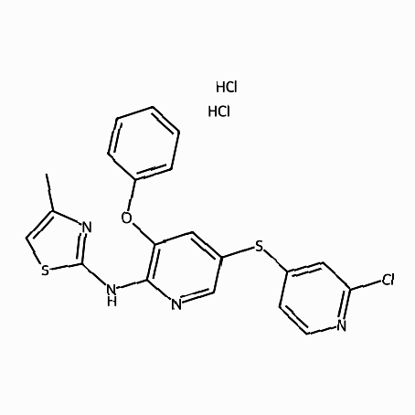 Cc1csc(Nc2ncc(Sc3ccnc(Cl)c3)cc2Oc2ccccc2)n1.Cl.Cl